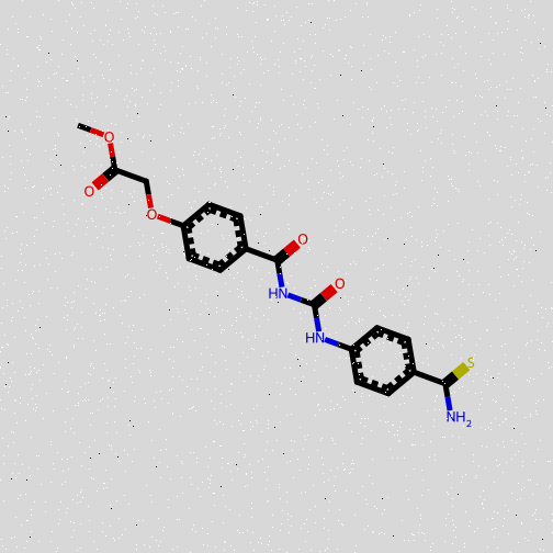 COC(=O)COc1ccc(C(=O)NC(=O)Nc2ccc(C(N)=S)cc2)cc1